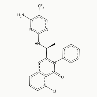 C[C@H](Nc1ncc(C(F)(F)F)c(N)n1)c1cc2cccc(Cl)c2c(=O)n1-c1ccccc1